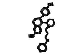 Oc1ccc(-c2ccc3cc(O)ccc3c2C2CCCCN2CCCOc2ccccc2)cc1